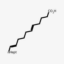 CCCCCCCC=CCCCC=CCCCC(=O)O